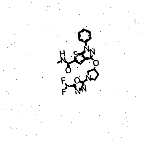 CNC(=O)c1cc2c(O[C@@H]3CCN(c4nnc(C(F)F)o4)C3)nn(-c3ccccc3)c2s1